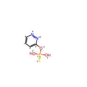 OP(O)(=S)Oc1cccnn1